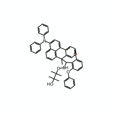 CC12c3ccc(cc3-c3ccc(N(c4ccccc4)c4ccccc4)c4cccc1c34)Oc1cccc(Oc3ccccc3)c1C2BOC(C)(C)C(C)(C)O